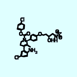 CC1=C(c2cc(Cl)ccc2N)CCN(C(=O)Oc2ccc(Cl)cc2)[C@H]1c1ccc(OCCC(O)CNS(C)(=O)=O)cc1